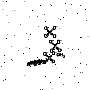 O.O=P([O-])([O-])[O-].O=P([O-])([O-])[O-].O=P([O-])([O-])[O-].[Al+3].[Mg+2].[Mg+2].[Mg+2]